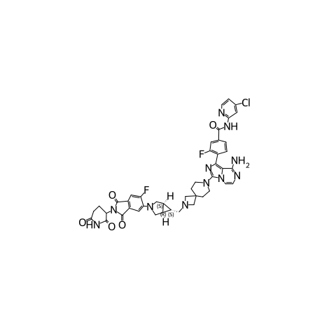 Nc1nccn2c(N3CCC4(CC3)CN(C[C@@H]3[C@H]5CN(c6cc7c(cc6F)C(=O)N(C6CCC(=O)NC6=O)C7=O)C[C@@H]35)C4)nc(-c3ccc(C(=O)Nc4cc(Cl)ccn4)cc3F)c12